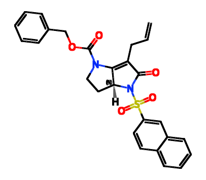 C=CCC1=C2[C@H](CCN2C(=O)OCc2ccccc2)N(S(=O)(=O)c2ccc3ccccc3c2)C1=O